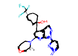 C[C@@H]1COCCN1c1cc([C@]2(O)CC[C@H](C(F)(F)F)CC2)c2cnn(-c3cc[nH]n3)c2n1